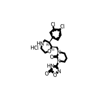 Cl.O=C1N(C[C@H]2OCCNC[C@H]2c2ccc(Cl)c(Cl)c2)CCCN1c1noc(=O)[nH]1